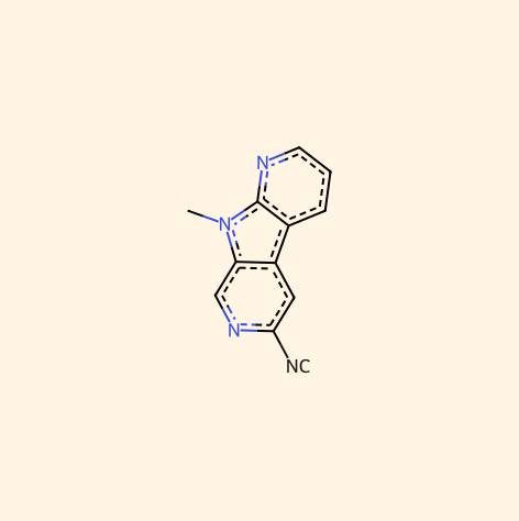 [C-]#[N+]c1cc2c3cccnc3n(C)c2cn1